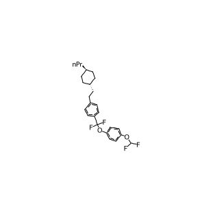 CCC[C@H]1CC[C@H](CCc2ccc(C(F)(F)Oc3ccc(OC(F)F)cc3)cc2)CC1